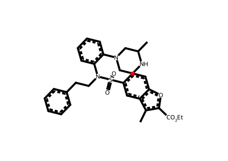 CCOC(=O)c1oc2ccc(S(=O)(=O)N(CCc3ccccc3)c3ccccc3N3CCNC(C)C3)cc2c1C